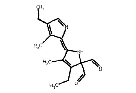 CCC1=C(C)C(=C2NC(C=O)(C=O)C(CC)=C2C)N=C1